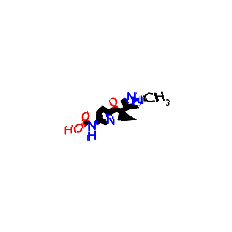 Cn1cc(C2(C(=O)c3ccc(NC(=O)O)cn3)CC2)cn1